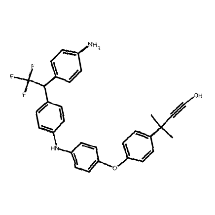 CC(C)(C#CO)c1ccc(Oc2ccc(Nc3ccc(C(c4ccc(N)cc4)C(F)(F)F)cc3)cc2)cc1